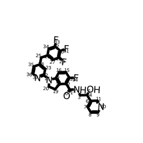 O=C(NCC(O)c1cccnc1)c1c(F)ccc2c1CCN2c1cc(Cc2cc(F)c(F)c(F)c2)ccn1